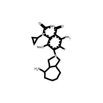 COc1c(N2CC3CCCCC(N)C3C2)c(F)c(N)c2c(=O)[nH]c(=O)n(C3CC3)c12